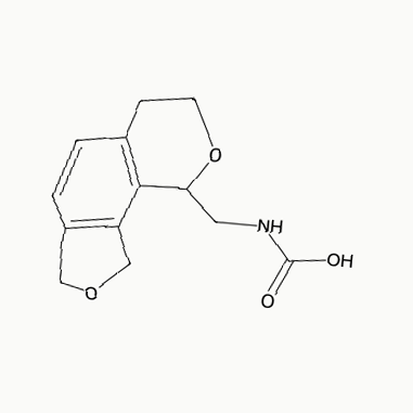 O=C(O)NCC1OCCc2ccc3c(c21)COC3